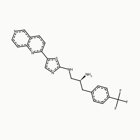 N[C@H](CNc1ncc(-c2ccc3cnccc3n2)s1)Cc1ccc(C(F)(F)F)cc1